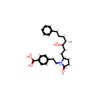 C[C@@H](CCCc1ccccc1)[C@H](O)CCC1CCC(=O)N1CCc1ccc(C(=O)O)cc1